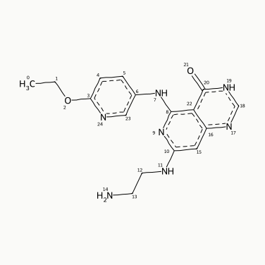 CCOc1ccc(Nc2nc(NCCN)cc3nc[nH]c(=O)c23)cn1